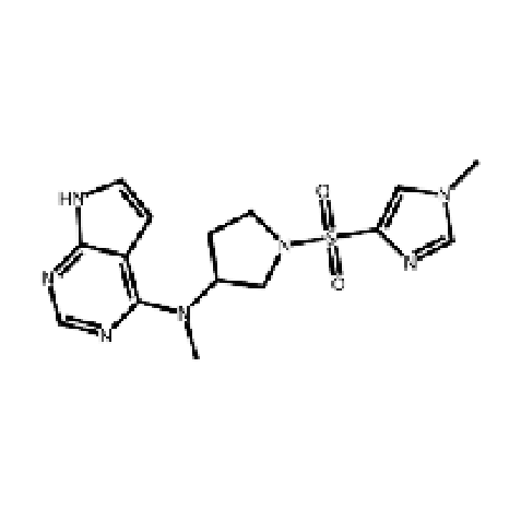 CN(c1ncnc2[nH]ccc12)C1CCN(S(=O)(=O)c2cn(C)cn2)C1